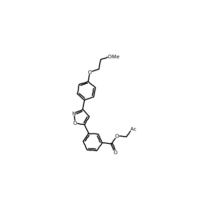 COCCOc1ccc(-c2cc(-c3cccc(C(=O)OCC(C)=O)c3)on2)cc1